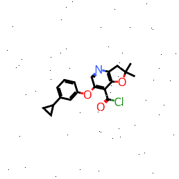 CC1(C)Cc2ncc(Oc3cccc(C4CC4)c3)c(C(=O)Cl)c2O1